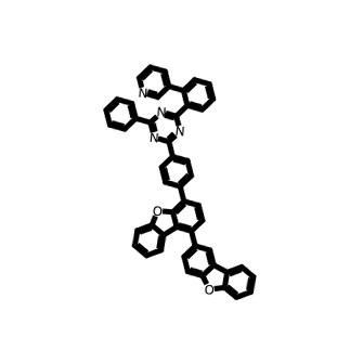 c1ccc(-c2nc(-c3ccc(-c4ccc(-c5ccc6oc7ccccc7c6c5)c5c4oc4ccccc45)cc3)nc(-c3ccccc3-c3cccnc3)n2)cc1